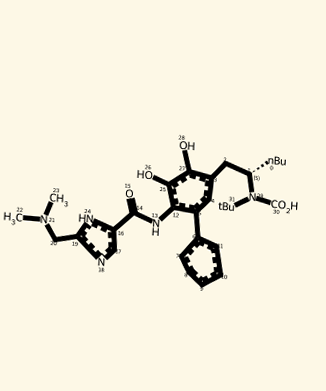 CCCC[C@@H](Cc1cc(-c2ccccc2)c(NC(=O)c2cnc(CN(C)C)[nH]2)c(O)c1O)N(C(=O)O)C(C)(C)C